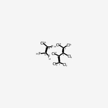 ClC(Cl)=C(Cl)C(Cl)=C(Cl)Cl.FC(F)=C(F)Cl